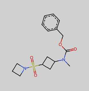 CN(C(=O)OCc1ccccc1)C1CC(S(=O)(=O)N2CCC2)C1